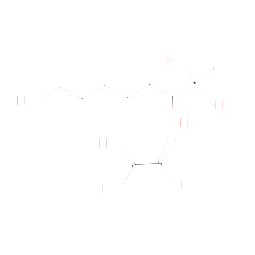 C=C(C)C(=O)O.CCCCCCC(O)C(C)(O)O